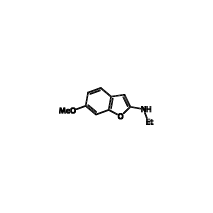 CCNc1cc2ccc(OC)cc2o1